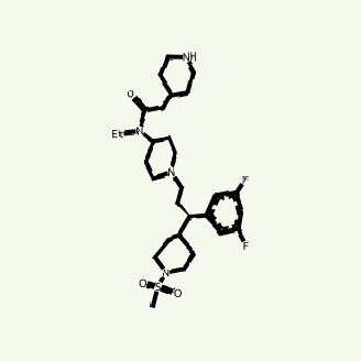 CCN(C(=O)CC1CCNCC1)C1CCN(CC[C@@H](c2cc(F)cc(F)c2)C2CCN(S(C)(=O)=O)CC2)CC1